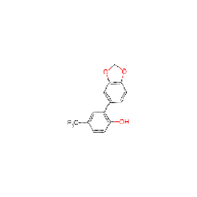 Oc1ccc(C(F)(F)F)cc1-c1ccc2c(c1)OCO2